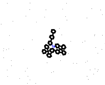 c1ccc(-c2ccc(-c3cccc(N(c4ccc5c(c4)C(c4ccccc4)(c4ccccc4)c4ccccc4-5)c4ccc5c(c4)C4(c6ccccc6-c6ccccc64)c4ccccc4-5)c3)cc2)cc1